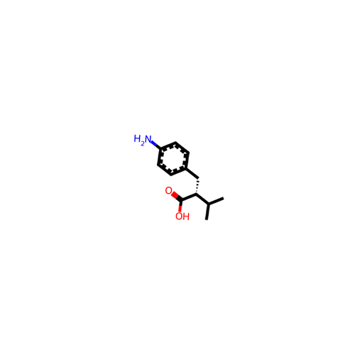 CC(C)[C@@H](Cc1ccc(N)cc1)C(=O)O